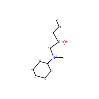 CCCC(O)CN(C)C1CCCCC1